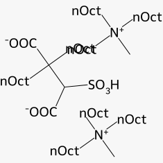 CCCCCCCCC(CCCCCCCC)(C(=O)[O-])C(C(=O)[O-])S(=O)(=O)O.CCCCCCCC[N+](C)(CCCCCCCC)CCCCCCCC.CCCCCCCC[N+](C)(CCCCCCCC)CCCCCCCC